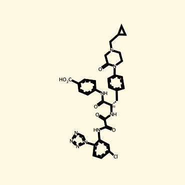 O=C(Nc1cc(Cl)ccc1-n1cnnn1)C(=O)N[C@@H](Cc1ccc(N2CCN(CC3CC3)CC2=O)cc1)C(=O)Nc1ccc(C(=O)O)cc1